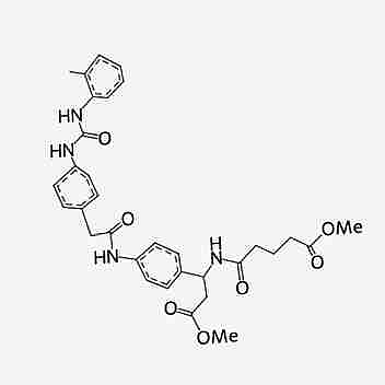 COC(=O)CCCC(=O)NC(CC(=O)OC)c1ccc(NC(=O)Cc2ccc(NC(=O)Nc3ccccc3C)cc2)cc1